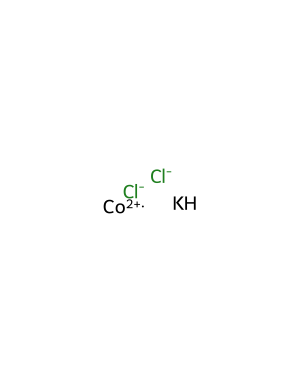 [Cl-].[Cl-].[Co+2].[KH]